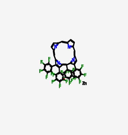 Fc1c(F)c(F)c(C2=CC3=CC4=NC(=CC5=NC(=CC6=NC(=C(c7c(F)c(F)c(F)c(F)c7F)C2=N3)C(c2c(F)c(F)c(F)c(F)c2F)=C6c2c(F)c(F)c(F)c(F)c2F)C=C5)C=C4)c(F)c1F.[Zn]